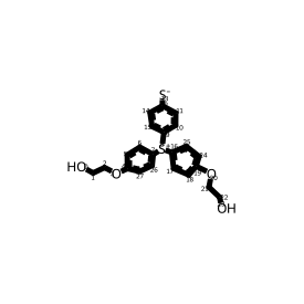 OCCOc1ccc([S+](c2ccc([S-])cc2)c2ccc(OCCO)cc2)cc1